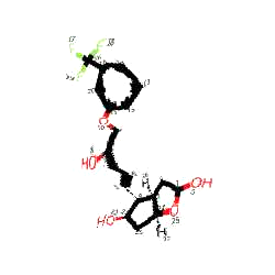 OC1C[C@@H]2[C@@H](C=C[C@@H](O)COc3cccc(C(F)(F)F)c3)[C@H](O)C[C@@H]2O1